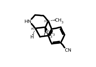 CC1(C)[C@H]2Cc3cc(C#N)ccc3[C@]1(C)CCN2